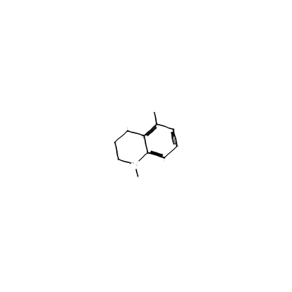 CN1CCCc2c(O)cccc21